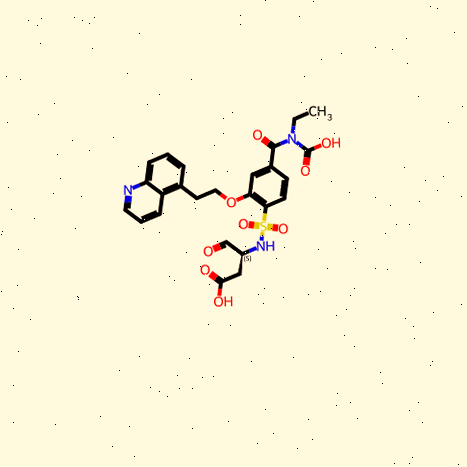 CCN(C(=O)O)C(=O)c1ccc(S(=O)(=O)N[C@H](C=O)CC(=O)O)c(OCCc2cccc3ncccc23)c1